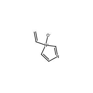 C=C[N+]1([O-])C=CN=C1